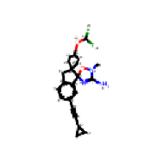 CN1OC2(N=C1N)c1cc(C#CC3CC3)ccc1CC21CCC(OC(F)F)CC1